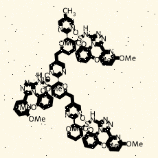 COc1cccc(-c2nnc(NS(=O)(=O)[C@@H]3CCC(Cc4cnc([C@@H]5OCCC[C@@H]5S(=O)(=O)Nc5nnc(-c6cccc(OC)n6)n5-c5c(OC)cccc5OC)nc4)O[C@H]3C3=NC=C(CC4CC[C@H](S(=O)(=O)Nc5nnc(-c6cccc(OC)n6)n5-c5c(OC)cccc5OC)[C@@H](c5ncc(C)cn5)O4)CN3C)n2-c2c(OC)cccc2OC)n1